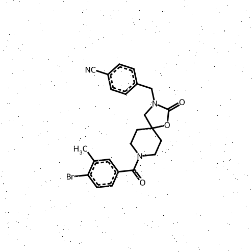 Cc1cc(C(=O)N2CCC3(CC2)CN(Cc2ccc(C#N)cc2)C(=O)O3)ccc1Br